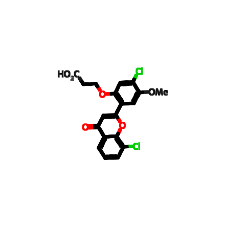 COc1cc(-c2cc(=O)c3cccc(Cl)c3o2)c(OCCC(=O)O)cc1Cl